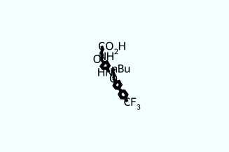 CCCCC(COc1ccc(-c2ccc(C(F)(F)F)cc2)cc1)Nc1ccc(C(=O)NCCC(=O)O)cc1